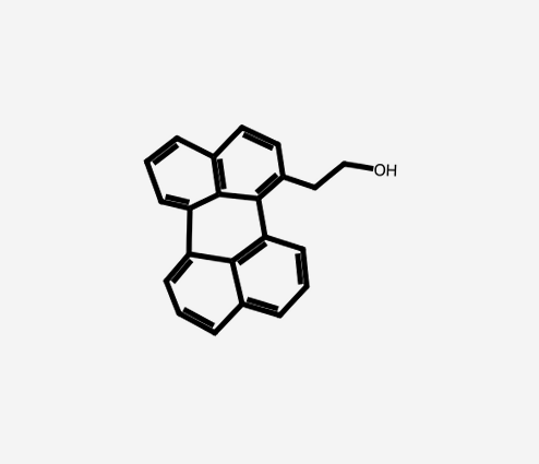 OCCc1ccc2cccc3c4cccc5cccc(c1c23)c54